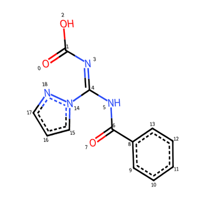 O=C(O)N=C(NC(=O)c1ccccc1)n1cccn1